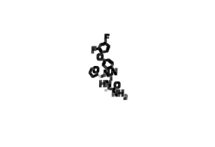 C[C@H](NCc1nc2ccc(Oc3ccc(F)cc3F)cc2n1C[C@@H]1CCCO1)C(N)=O